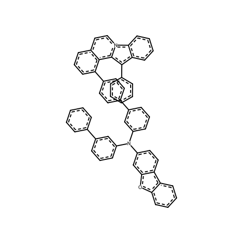 c1ccc(-c2cccc(N(c3cccc(-c4ccc(-c5cccc6ccn7c8ccccc8c(-c8ccccc8)c7c56)cc4)c3)c3ccc4c(c3)oc3ccccc34)c2)cc1